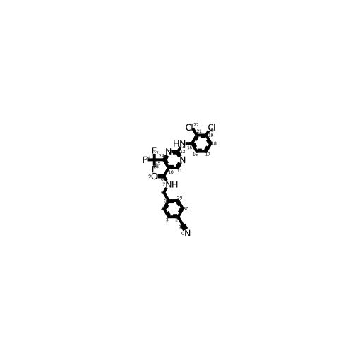 N#Cc1ccc(CNC(=O)c2cnc(Nc3cccc(Cl)c3Cl)nc2C(F)(F)F)cc1